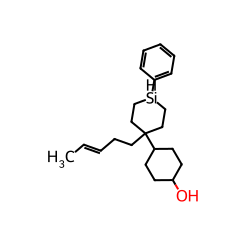 CC=CCCC1(C2CCC(O)CC2)CC[SiH](c2ccccc2)CC1